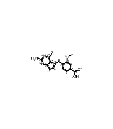 COc1cc(C(=O)O)ccc1Cn1ccc2nc(N)nc(Cl)c21